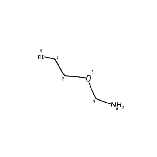 CCCCOCN